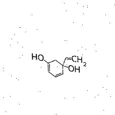 C=CC1(O)C=CC=C(O)C1